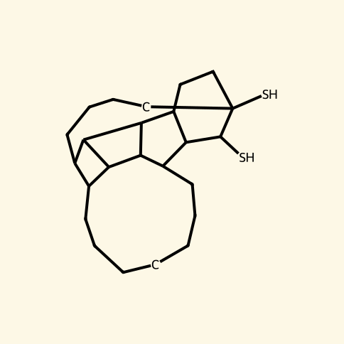 SC1C2C3CCCCCCCC4C5CCCCC1(S)CCC2C1C5C4C31